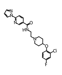 O=C(NCCN1CCC(Oc2ccc(F)cc2Cl)CC1)c1ccc(-n2cccn2)nc1